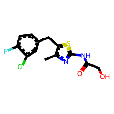 Cc1nc(NC(=O)CO)sc1Cc1ccc(F)c(Cl)c1